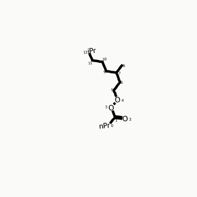 CCCC(=O)OOCCC(C)CCCC(C)C